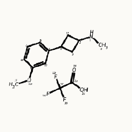 CNC1CC(c2cccc(OC)c2)C1.O=C(O)C(F)(F)F